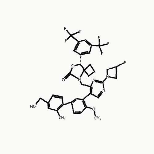 COc1ccc(-c2ccc(CO)cc2C)cc1-c1cnc(N2CC(F)C2)nc1CN1C(=O)O[C@H](c2cc(C(F)(F)F)cc(C(F)(F)F)c2)C12CCC2